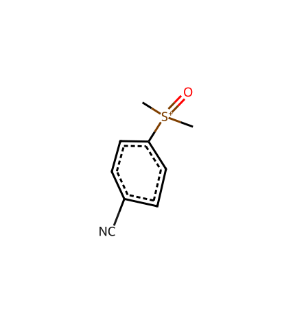 C[S+](C)(=O)c1ccc(C#N)cc1